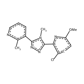 COc1ccc(Cl)c(-c2nnc(-c3cccnc3C)n2C)n1